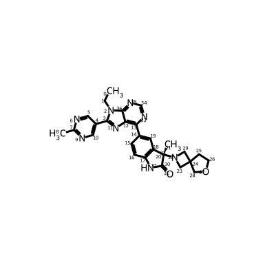 CCn1c(-c2cnc(C)nc2)nc2c(-c3ccc4c(c3)[C@](C)(N3CC5(CCOC5)C3)C(=O)N4)ncnc21